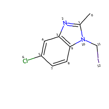 Cc1nc2cc(Cl)ccc2n1CI